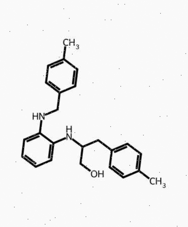 Cc1ccc(CNc2ccccc2NC(CO)Cc2ccc(C)cc2)cc1